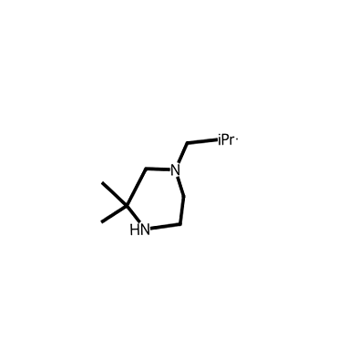 C[C](C)CN1CCNC(C)(C)C1